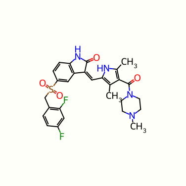 Cc1[nH]c(/C=C2\C(=O)Nc3ccc(S(=O)(=O)Cc4ccc(F)cc4F)cc32)c(C)c1C(=O)N1CCN(C)CC1